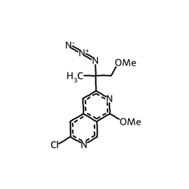 COCC(C)(N=[N+]=[N-])c1cc2cc(Cl)ncc2c(OC)n1